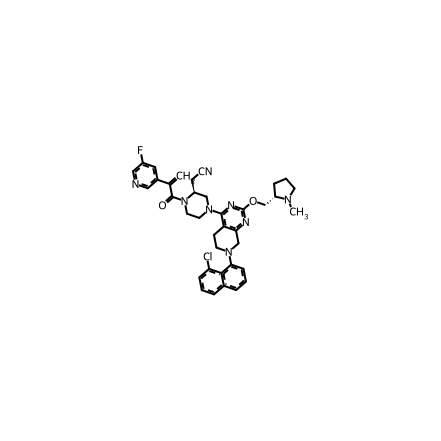 C=C(C(=O)N1CCN(c2nc(OC[C@@H]3CCCN3C)nc3c2CCN(c2cccc4cccc(Cl)c24)C3)C[C@@H]1CC#N)c1cncc(F)c1